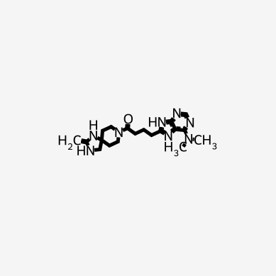 C=C1NCC2(CCN(C(=O)CCCc3nc4c(N(C)C)ncnc4[nH]3)CC2)N1